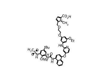 CCOc1cc(Nc2cc(Oc3ccc(NC(=O)Nc4cc(C(C)(C)C)cc(NS(C)(=O)=O)c4OC)c4ccccc34)ccn2)cc(OCCOCc2ccc(C(=O)O)n2C)c1